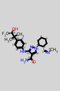 C/N=C\[C@H]1CCCC[C@@H]1n1cc(C(N)=O)c(Nc2ccc(C(C)(C)[C@H](O)C(F)(F)F)cc2)n1